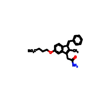 CCOC(=O)CCCOc1ccc2c(c1)C(CC(N)=O)=C(C)C2=Cc1ccccc1